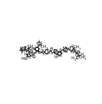 Cc1ncsc1-c1ccc(CNC(=O)[C@@H]2C[C@@H](O)CN2C(=O)[C@@H](NC(=O)C2(F)CC2)C(C)(C)C)c(OC2CC3(CCN(C(=O)CC(=O)Nc4cccc(Sc5cnc(N6CCC(C)(CNC(=O)OC(C)(C)C)CC6)cn5)c4Cl)CC3)C2)c1